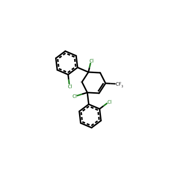 FC(F)(F)C1=CC(Cl)(c2ccccc2Cl)[CH]C(Cl)(c2ccccc2Cl)C1